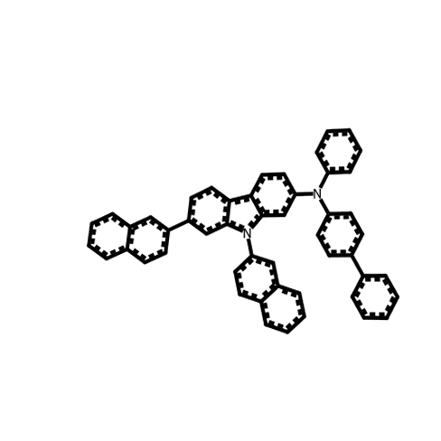 c1ccc(-c2ccc(N(c3ccccc3)c3ccc4c5ccc(-c6ccc7ccccc7c6)cc5n(-c5ccc6ccccc6c5)c4c3)cc2)cc1